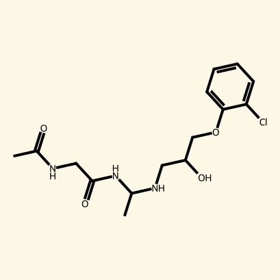 CC(=O)NCC(=O)NC(C)NCC(O)COc1ccccc1Cl